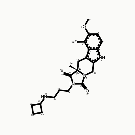 COc1ccc2[nH]c3c(c2c1F)C[C@@]1(C)C(=O)N(CCCNC2CCC2)C(=O)N1C3